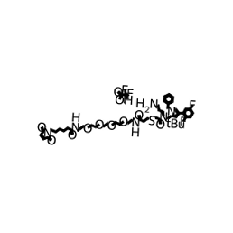 CC(C)(C)C(c1cc(-c2cc(F)ccc2F)cn1Cc1ccccc1)N(CCCN)C(=O)CSCCC(=O)NCCOCCOCCOCCOCCNC(=O)CCCCCN1C(=O)C=CC1=O.O=C(O)C(F)(F)F